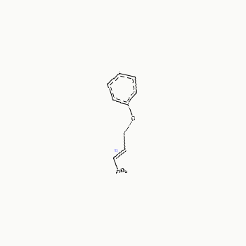 CCCC/C=C/COc1cc[c]cc1